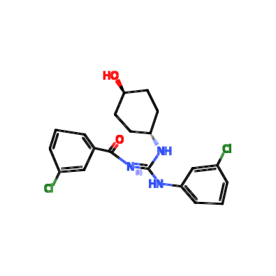 O=C(/N=C(/Nc1cccc(Cl)c1)N[C@H]1CC[C@H](O)CC1)c1cccc(Cl)c1